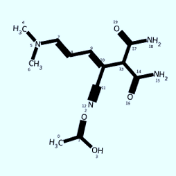 CC(=O)O.CN(C)C=CC=C(C#N)C(C(N)=O)C(N)=O